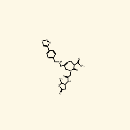 NC(=O)C1CC=C(CNCc2ccc(-c3csnn3)cc2)CN(CC(=O)NC2CC(=O)OC2O)C1=O